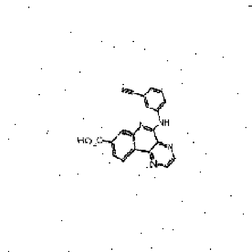 C#Cc1cccc(Nc2nc3cc(C(=O)O)ccc3c3nccnc23)c1